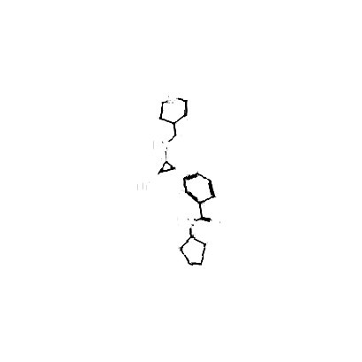 Cl.O=C(NC1CCCC1)c1cccc([C@@H]2C[C@H]2NCC2CCOCC2)c1